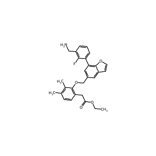 CCOC(=O)Cc1ccc(C)c(C)c1OCc1cc(-c2cccc(CN)c2F)c2occc2c1